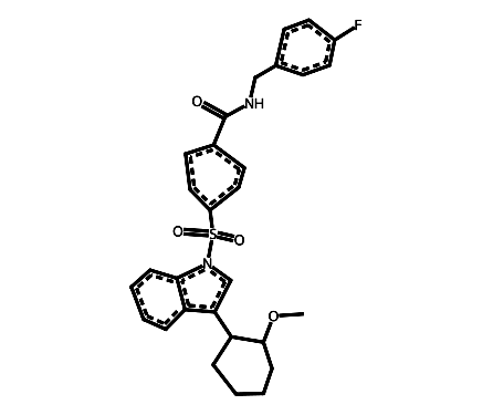 COC1CCCCC1c1cn(S(=O)(=O)c2ccc(C(=O)NCc3ccc(F)cc3)cc2)c2ccccc12